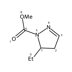 CCC1CC=NN1C(=O)OC